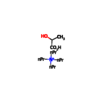 CC(O)C(=O)O.CCC[N+](CCC)(CCC)CCC